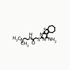 CN(C)CCNC(=O)CSc1nc(N)c2c3c(sc2n1)CCCCC3